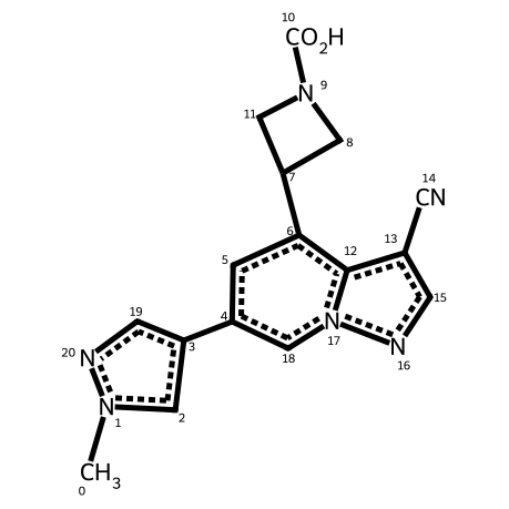 Cn1cc(-c2cc(C3CN(C(=O)O)C3)c3c(C#N)cnn3c2)cn1